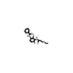 CCSCCC(=O)Nc1c(F)ccc(NC(=O)c2ccccc2)c1F